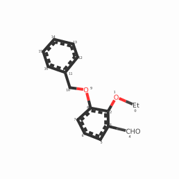 CCOc1c(C=O)cccc1OCc1ccccc1